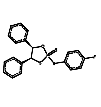 Fc1ccc(SP2(=S)O[C@H](c3ccccc3)[C@H](c3ccccc3)S2)cc1